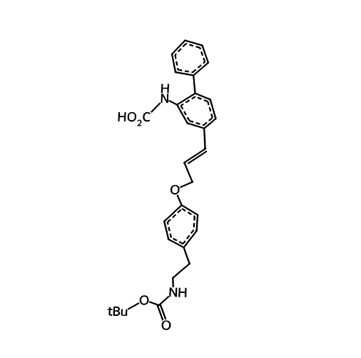 CC(C)(C)OC(=O)NCCc1ccc(OCC=Cc2ccc(-c3ccccc3)c(NC(=O)O)c2)cc1